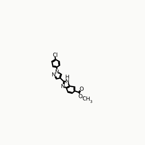 COC(=O)c1ccc2nc(-c3cnn(-c4ccc(Cl)cc4)c3)[nH]c2c1